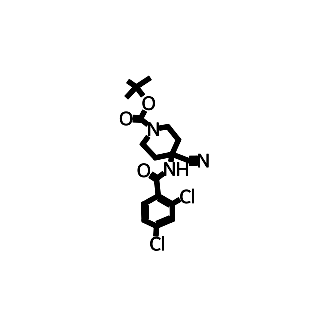 CC(C)(C)OC(=O)N1CCC(C#N)(NC(=O)c2ccc(Cl)cc2Cl)CC1